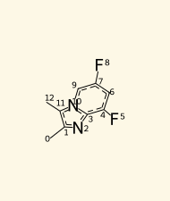 Cc1nc2c(F)cc(F)cn2c1C